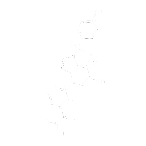 CCCc1cn(-c2cccc(C(=O)N(C)C)c2)c2ccn(S(=O)(=O)c3ccc(C)cc3)c2c1=O